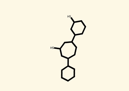 SC1CCCC(C2CCC(C3CCCCC3)CC(S)C2)C1